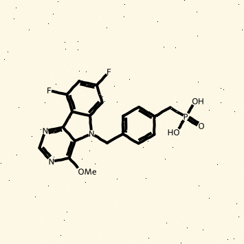 COc1ncnc2c3c(F)cc(F)cc3n(Cc3ccc(CP(=O)(O)O)cc3)c12